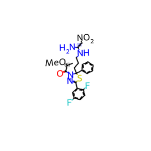 CO[C@@H](C)C(=O)N1N=C(c2cc(F)ccc2F)SC1(CCCN/C(N)=C/[N+](=O)[O-])c1ccccc1